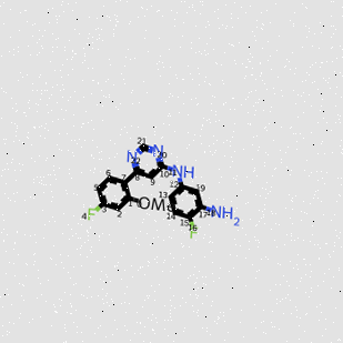 COc1cc(F)ccc1-c1cc(Nc2ccc(F)c(N)c2)ncn1